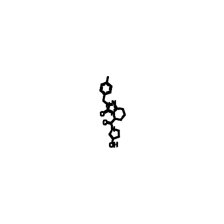 Cc1ccc(Cn2nc3n(c2=O)C(C(=O)N2CCC(O)C2)CCC3)cc1